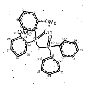 COc1ccccc1P(=O)(CP(=O)(c1ccccc1)c1ccccc1)c1ccccc1OC